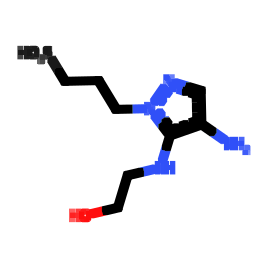 Nc1cnn(CCCS(=O)(=O)O)c1NCCO